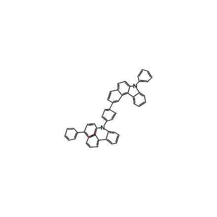 c1ccc(-c2ccc(N(c3ccc(-c4ccc5ccc6c(c5c4)c4ccccc4n6-c4ccccc4)cc3)c3ccccc3-c3ccccc3)cc2)cc1